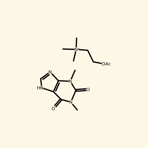 CC(=O)OCC[N+](C)(C)C.Cn1c(=O)c2[nH]cnc2n(C)c1=O